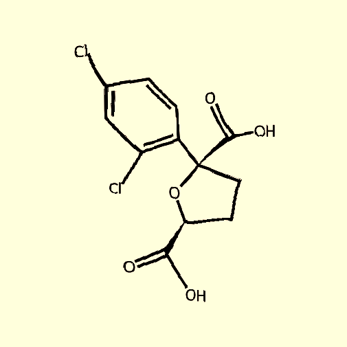 O=C(O)[C@@H]1CC[C@@](C(=O)O)(c2ccc(Cl)cc2Cl)O1